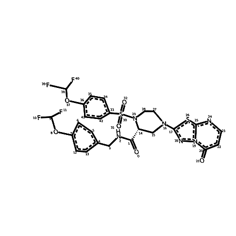 O=C(NCc1ccc(OC(F)F)cc1)[C@H]1CN(c2nn3c(=O)ccnc3s2)CCN1S(=O)(=O)c1ccc(OC(F)F)cc1